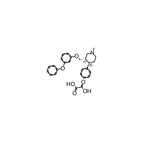 CN1CC[C@@H](c2ccccc2)[C@H](COc2cccc(Oc3ccccc3)c2)C1.O=C(O)C(=O)O